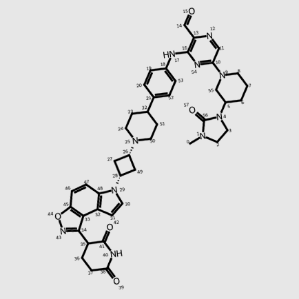 CN1CCN(C2CCCN(c3cnc(C=O)c(Nc4ccc(C5CCN([C@H]6C[C@@H](n7ccc8c9c(C%10CCC(=O)NC%10=O)noc9ccc87)C6)CC5)cc4)n3)C2)C1=O